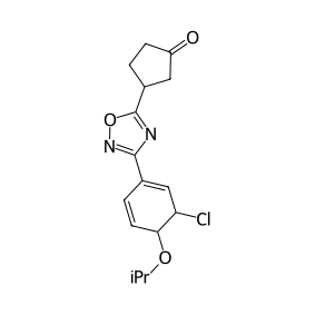 CC(C)OC1C=CC(c2noc(C3CCC(=O)C3)n2)=CC1Cl